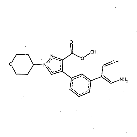 COC(=O)c1nn(C2CCOCC2)cc1-c1cccc(/C(C=N)=C/N)c1